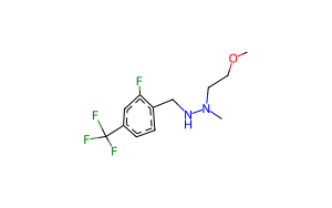 COCCN(C)NCc1ccc(C(F)(F)F)cc1F